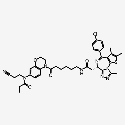 CCC(=O)N(CCC#N)c1ccc2c(c1)OCCN2C(=O)CCCCCNC(=O)C[C@@H]1N=C(c2ccc(Cl)cc2)c2c(sc(C)c2C)-n2c(C)nnc21